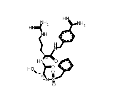 N=C(N)NCCC[C@H](NC(=O)[C@@H](CO)NS(=O)(=O)Cc1ccccc1)C(=O)NCc1ccc(C(=N)N)cc1